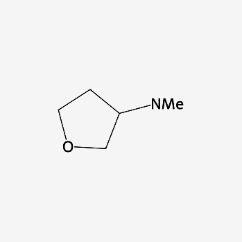 [CH2-][NH2+]C1CCOC1